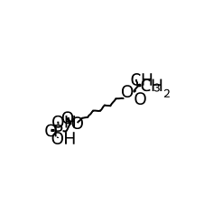 C=C(C)C(=O)OCCCCCCCCOC(=O)CP(=O)(O)O